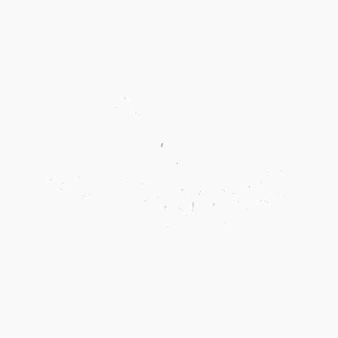 Cc1cc(N(CCCCCNCCCN2CCN(C)CC2)c2nc(C(=O)O)c(CCCOc3ccc(C#CCN(C)C)cc3F)s2)nnc1Nc1nc2ccccc2s1